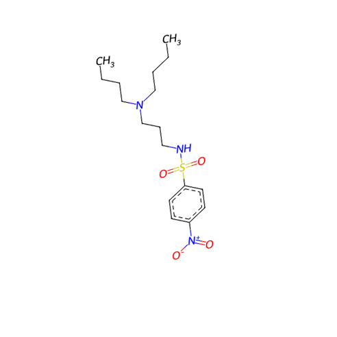 CCCCN(CCCC)CCCNS(=O)(=O)c1ccc([N+](=O)[O-])cc1